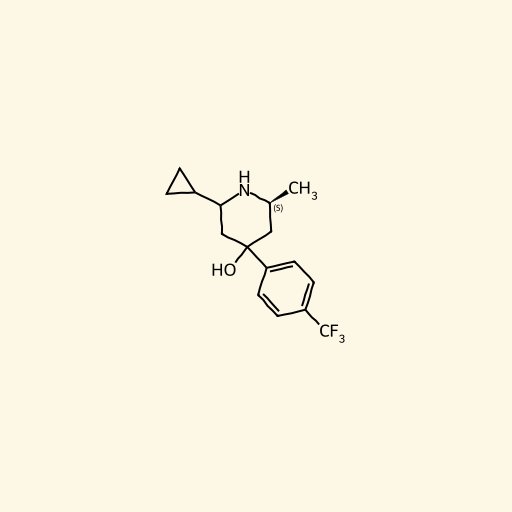 C[C@H]1CC(O)(c2ccc(C(F)(F)F)cc2)CC(C2CC2)N1